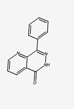 O=c1[nH]nc(-c2ccccc2)c2ncccc12